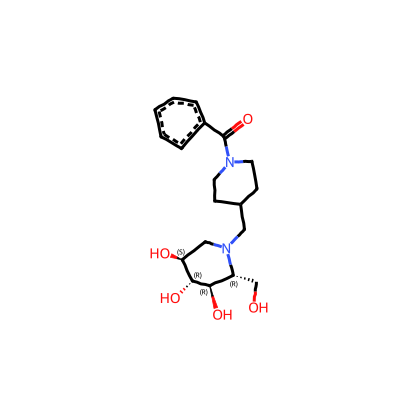 O=C(c1ccccc1)N1CCC(CN2C[C@H](O)[C@@H](O)[C@H](O)[C@H]2CO)CC1